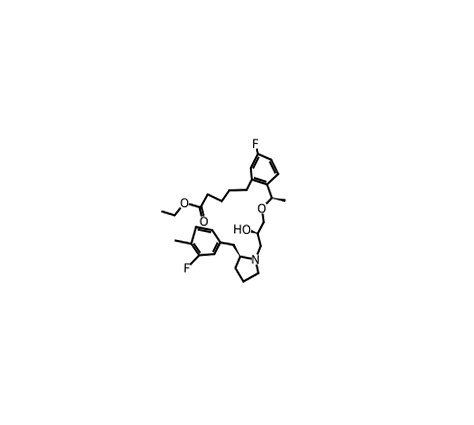 CCOC(=O)CCCCc1cc(F)ccc1[C@@H](C)OC[C@H](O)CN1CCC[C@H]1Cc1ccc(C)c(F)c1